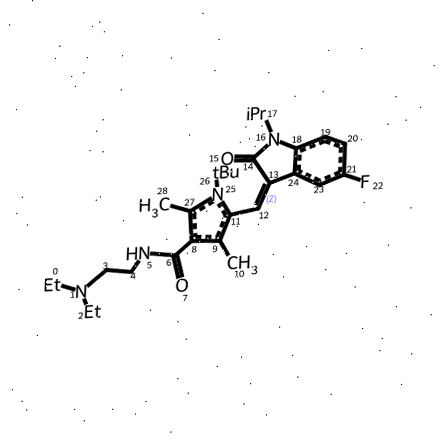 CCN(CC)CCNC(=O)c1c(C)c(/C=C2\C(=O)N(C(C)C)c3ccc(F)cc32)n(C(C)(C)C)c1C